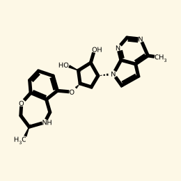 Cc1ncnc2c1ccn2[C@@H]1C[C@H](Oc2cccc3c2CN[C@@H](C)CO3)[C@@H](O)C1O